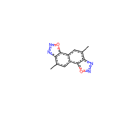 Cc1cc2c(cc(C)c3nnoc32)c2onnc12